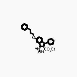 CCOC(=O)C1=C(c2ccccc2)c2ccc(OCCCc3ccccc3)cc2/C1=[N+](\C)O